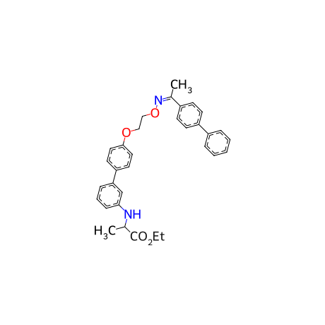 CCOC(=O)C(C)Nc1cccc(-c2ccc(OCCON=C(C)c3ccc(-c4ccccc4)cc3)cc2)c1